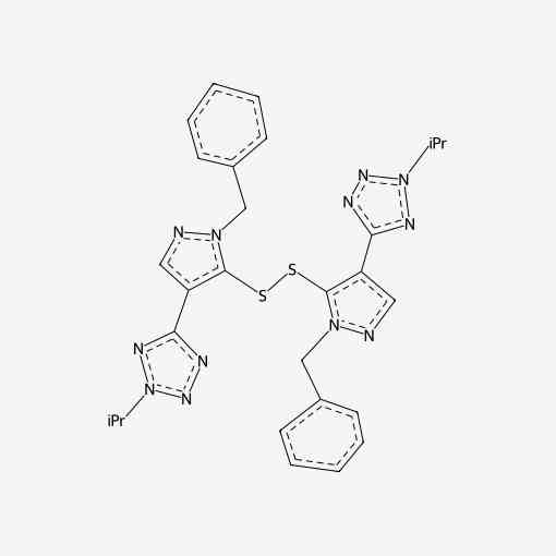 CC(C)n1nnc(-c2cnn(Cc3ccccc3)c2SSc2c(-c3nnn(C(C)C)n3)cnn2Cc2ccccc2)n1